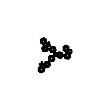 CC1(C)c2ccccc2-c2ccc(-c3ccc(N(c4ccc(-c5cccc6oc7ccccc7c56)cc4)c4cccc(-c5cccc6c5C(C)(C)c5ccccc5-6)c4)cc3)cc21